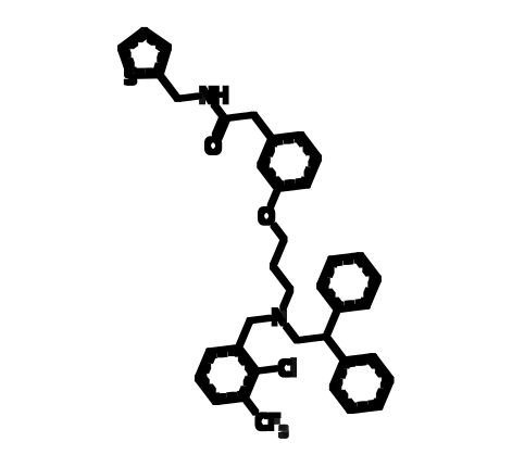 O=C(Cc1cccc(OCCCN(Cc2cccc(C(F)(F)F)c2Cl)CC(c2ccccc2)c2ccccc2)c1)NCc1cccs1